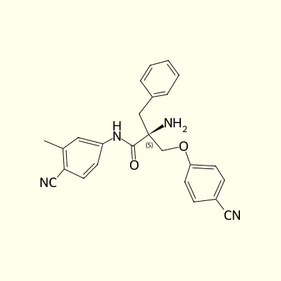 Cc1cc(NC(=O)[C@@](N)(COc2ccc(C#N)cc2)Cc2ccccc2)ccc1C#N